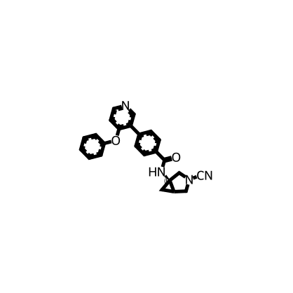 N#CN1CC2C[C@]2(NC(=O)c2ccc(-c3cnccc3Oc3ccccc3)cc2)C1